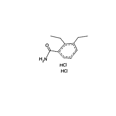 CCc1cccc(C(N)=O)c1CC.Cl.Cl